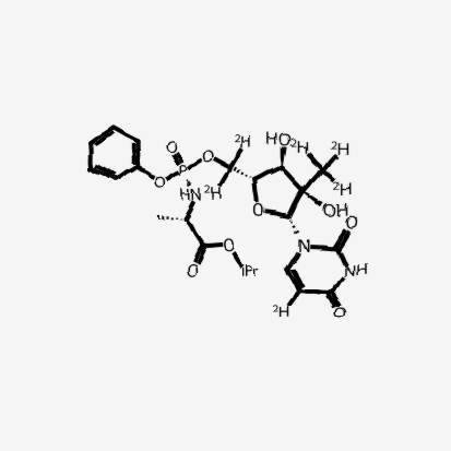 [2H]c1cn([C@@H]2O[C@H](C([2H])([2H])O[P@@](=O)(N[C@@H](C)C(=O)OC(C)C)Oc3ccccc3)[C@@H](O)[C@]2(O)C([2H])([2H])[2H])c(=O)[nH]c1=O